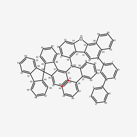 c1ccc(-c2cccc(-c3cc4c(oc5cccc(N(c6ccccc6-c6ccccc6)c6cccc7c6-c6ccccc6C76c7ccccc7-c7ccccc76)c54)c4ccccc34)c2)cc1